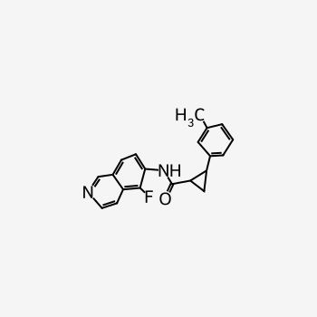 Cc1cccc(C2CC2C(=O)Nc2ccc3cnccc3c2F)c1